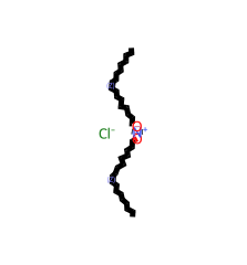 CCCCCCCC/C=C\CCCCCCCCO[N+](C)(C)OCCCCCCCC/C=C\CCCCCCCC.[Cl-]